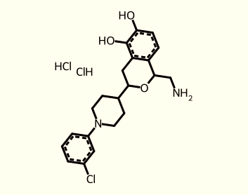 Cl.Cl.NCC1OC(C2CCN(c3cccc(Cl)c3)CC2)Cc2c1ccc(O)c2O